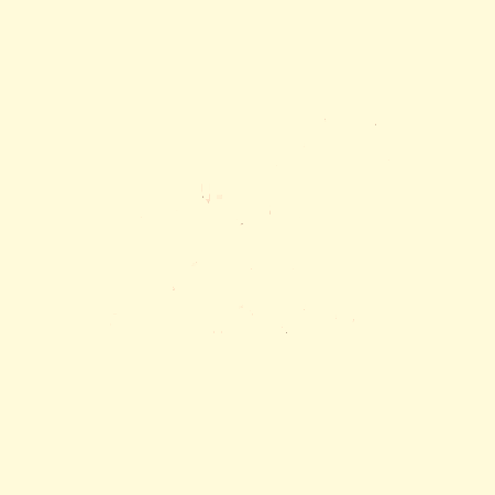 CN1C(=O)C(Cl)=C(c2c(-c3cc4ccccc4s3)[nH]c3ccc(F)cc23)C1=O